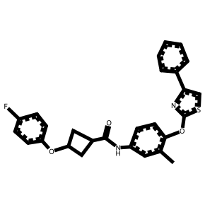 Cc1cc(NC(=O)C2CC(Oc3ccc(F)cc3)C2)ccc1Oc1nc(-c2ccccc2)cs1